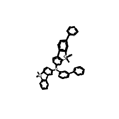 C[Si]1(C)c2ccccc2-c2cc(N(c3cccc(-c4ccccc4)c3)c3ccc4c(c3)[Si](C)(C)c3cc(-c5ccccc5)ccc3-4)ccc21